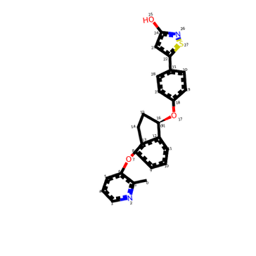 Cc1ncccc1Oc1cccc2c1CC[C@H]2Oc1ccc(-c2cc(O)ns2)cc1